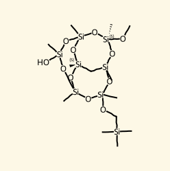 CO[Si@@]1(C)O[Si]2(C)C[Si@]3(C)O[Si](C)(O[Si](C)(O)O[Si](C)(O3)O1)O[Si](C)(OC[Si](C)(C)C)O2